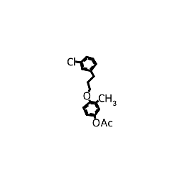 CC(=O)Oc1ccc(OCCCc2cccc(Cl)c2)c(C)c1